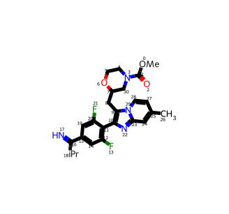 COC(=O)N1CCOC(Cc2c(-c3c(F)cc(C(=N)C(C)C)cc3F)nc3cc(C)ccn23)C1